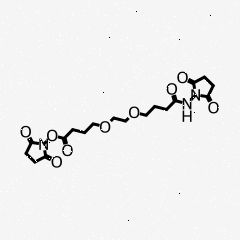 O=C(CCCOCCOCCCC(=O)ON1C(=O)CCC1=O)NN1C(=O)CCC1=O